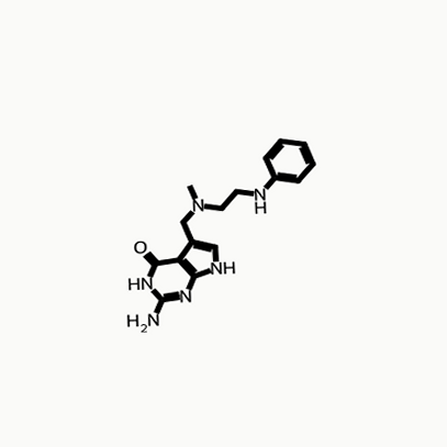 CN(CCNc1ccccc1)Cc1c[nH]c2nc(N)[nH]c(=O)c12